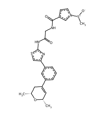 C[C@@H]1CC(c2cccc(-c3csc(NC(=O)CNC(=O)c4ccn([S+](C)[O-])c4)n3)c2)=C[C@H](C)O1